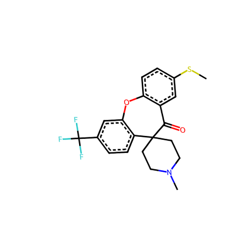 CSc1ccc2c(c1)C(=O)C1(CCN(C)CC1)c1ccc(C(F)(F)F)cc1O2